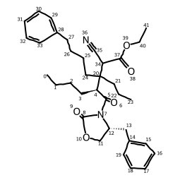 CCCC[C@H](C(=O)N1C(=O)OC[C@H]1Cc1ccccc1)C(CCC)(CCCCc1ccccc1)C(C#N)C(=O)OCC